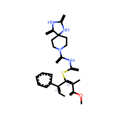 C=C1NC(=C)C2(CCN(C(=C)NC(=C)SC(/C(=C\C)c3ccccc3)=C(\C)C(=C)OC)CC2)N1